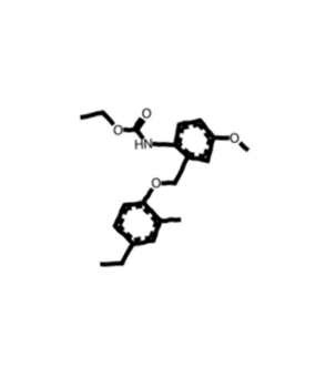 CCOC(=O)Nc1ccc(OC)cc1COc1ccc(CC)cc1C